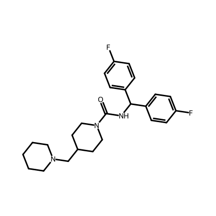 O=C(NC(c1ccc(F)cc1)c1ccc(F)cc1)N1CCC(CN2CCCCC2)CC1